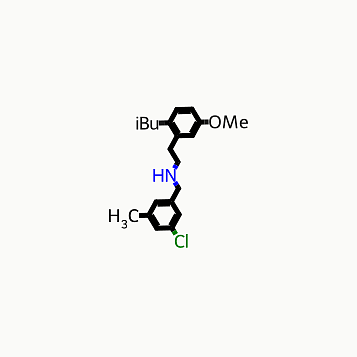 CCC(C)c1ccc(OC)cc1CCNCc1cc(C)cc(Cl)c1